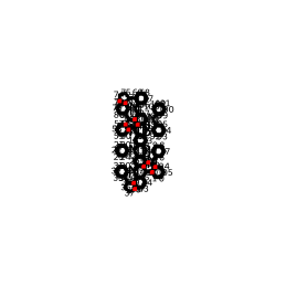 c1ccc(N2c3ccccc3B3c4cc5c(cc4N(c4ccccc4)c4cc(N(c6ccccc6C6CCCC6)c6ccccc6C6CCCC6)cc2c43)N(c2ccccc2)c2cc(N(c3ccccc3C3CCCC3)c3ccccc3C3CCCC3)cc3c2B5c2ccccc2N3c2ccccc2)cc1